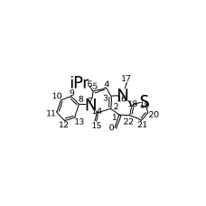 C=C1C2=C(C=C(C(C)C)N(c3ccccc3)C2=C)N(C)c2sccc21